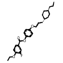 CCC[C@H]1CC[C@H](CCCOc2ccc(OC(=O)c3ccc(OCC)c(F)c3)cc2)CC1